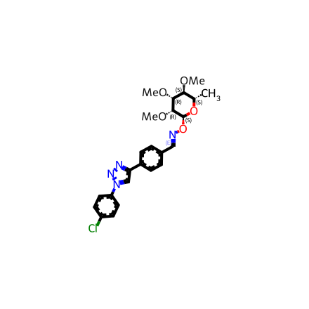 CO[C@@H]1[C@@H](OC)[C@H](C)O[C@@H](O/N=C/c2ccc(-c3cn(-c4ccc(Cl)cc4)nn3)cc2)[C@@H]1OC